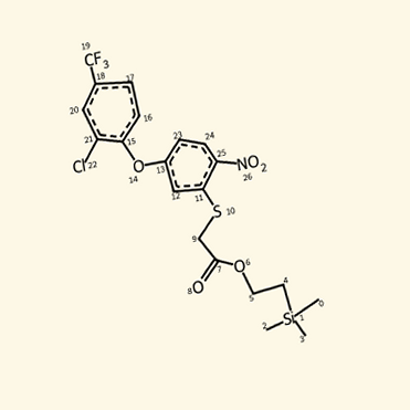 C[Si](C)(C)CCOC(=O)CSc1cc(Oc2ccc(C(F)(F)F)cc2Cl)ccc1[N+](=O)[O-]